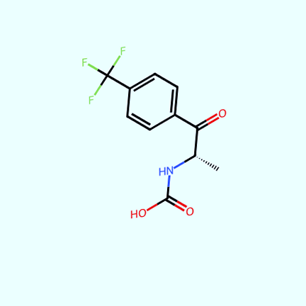 C[C@H](NC(=O)O)C(=O)c1ccc(C(F)(F)F)cc1